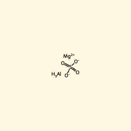 O=S(=O)([O-])[O-].[AlH3].[Mg+2]